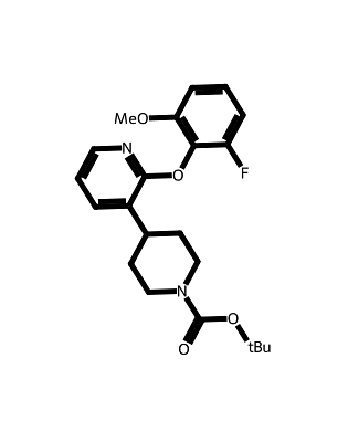 COc1cccc(F)c1Oc1ncccc1C1CCN(C(=O)OC(C)(C)C)CC1